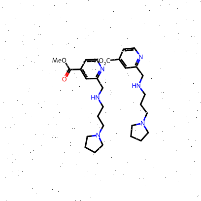 COC(=O)c1ccnc(CNCCCN2CCCC2)c1.O=C(O)c1ccnc(CNCCCN2CCCC2)c1